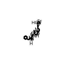 CN1C(=O)[C@@H](NC(=O)c2n[nH]c(Cc3ccccc3)n2)COc2ccc(C#CC(O)C(F)(F)F)nc21